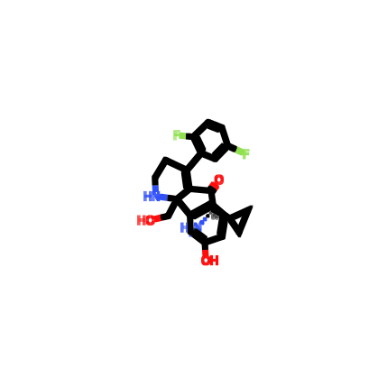 N[C@H](C(=O)C1=C(c2cc(F)ccc2F)CCNC1(CO)c1cccc(O)c1)C1CC1